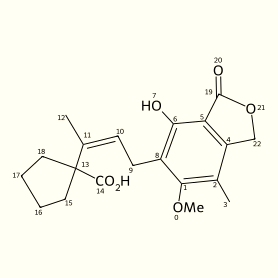 COc1c(C)c2c(c(O)c1CC=C(C)C1(C(=O)O)CCCC1)C(=O)OC2